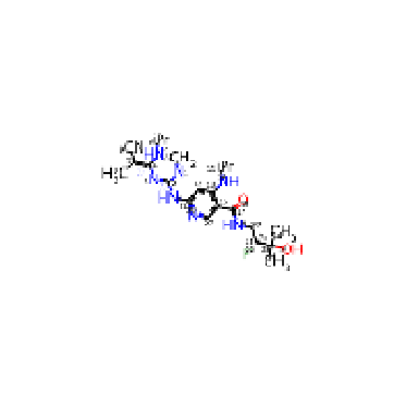 C=N/C(=N\C(NC(C)C)=C(/C)C#N)Nc1cc(NC(C)C)c(C(=O)NC[C@@H](F)C(C)(C)O)cn1